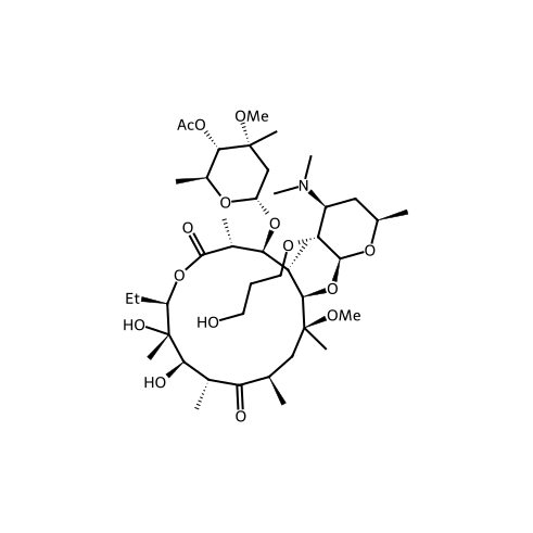 CC[C@H]1OC(=O)[C@H](C)[C@@H](O[C@H]2C[C@@](C)(OC)[C@@H](OC(C)=O)[C@H](C)O2)[C@H](C)[C@@H](O[C@@H]2O[C@H](C)C[C@H](N(C)C)[C@H]2OCCCO)[C@@](C)(OC)C[C@@H](C)C(=O)[C@H](C)[C@@H](O)[C@]1(C)O